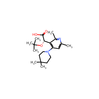 Cc1cc(N2CCC(C)(C)CC2)c([C@H](OC(C)(C)C)C(=O)O)c(C)n1